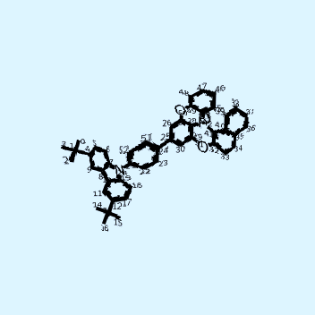 CC(C)(C)c1ccc2c(c1)c1cc(C(C)(C)C)ccc1n2-c1ccc(-c2cc3c4c(c2)Oc2ccc5ccccc5c2P4(=O)c2ccccc2O3)cc1